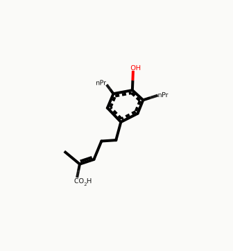 CCCc1cc(CCC=C(C)C(=O)O)cc(CCC)c1O